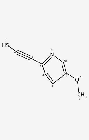 COc1ccc(C#CS)nc1